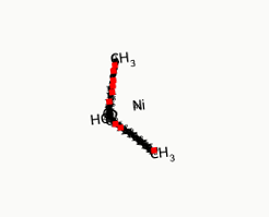 CCCCCCCCCCCCCCCCCCOP(=O)(O)OCCCCCCCCCCCCCCCCCC.[Ni]